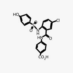 O=C(O)c1ccc(NC(=O)c2cc(Cl)ccc2NS(=O)(=O)c2ccc(O)cc2)cc1